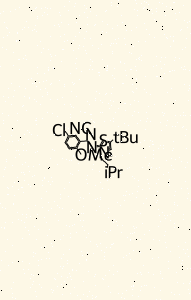 COc1ccc(Cl)cc1C(/N=c1\sc(C(C)(C)C)cn1CCC(C)C)=N\C#N